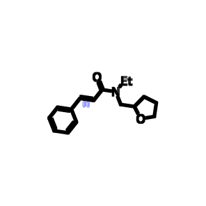 CCN(CC1CCCO1)C(=O)/C=C/c1ccccc1